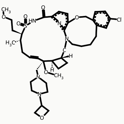 COCC[C@@H]1[C@@H](C)C/C=C/[C@](CN2CCN(C3COC3)CC2)(OC)[C@@H]2CC[C@H]2CN2CCCCc3cc(Cl)ccc3COc3ccc(nc32)C(=O)NS1(=O)=O